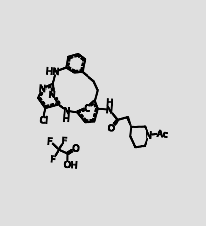 CC(=O)N1CCC[C@@H](CC(=O)Nc2ccc3cc2CCc2cccc(c2)Nc2ncc(Cl)c(n2)N3)C1.O=C(O)C(F)(F)F